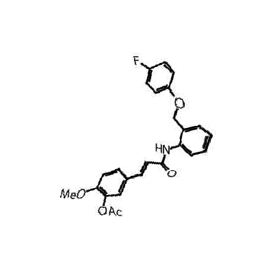 COc1ccc(/C=C/C(=O)Nc2ccccc2COc2ccc(F)cc2)cc1OC(C)=O